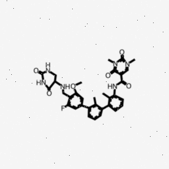 COc1cc(-c2cccc(-c3cccc(NC(=O)c4cn(C)c(=O)n(C)c4=O)c3C)c2C)cc(F)c1CNC1CNC(=O)NC1=O